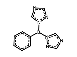 c1ccc(B(n2cncn2)n2cncn2)cc1